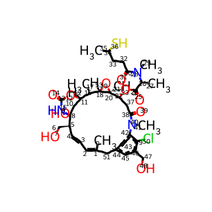 C/C1=C\C=C\[C@@H](CO)[C@@]2(O)C[C@H](OC(=O)N2)[C@@H](C)[C@@H]2O[C@@]2(C)[C@@H](OC(=O)[C@H](C)N(C)C(=O)CCC(C)S)CC(=O)N(C)c2cc(cc(CO)c2Cl)C1